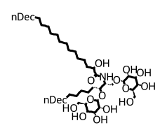 CCCCCCCCCCCCCCCCCCCCCCC(O)C(=O)N[C@H](CO[C@H]1O[C@H](CO)[C@H](O)[C@H](O)[C@H]1O)[C@@H](CCCCCCCCCCCCCCC)O[C@@H]1O[C@H](CO)[C@H](O)[C@H](O)[C@H]1O